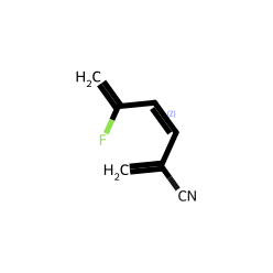 C=C(F)/C=C\C(=C)C#N